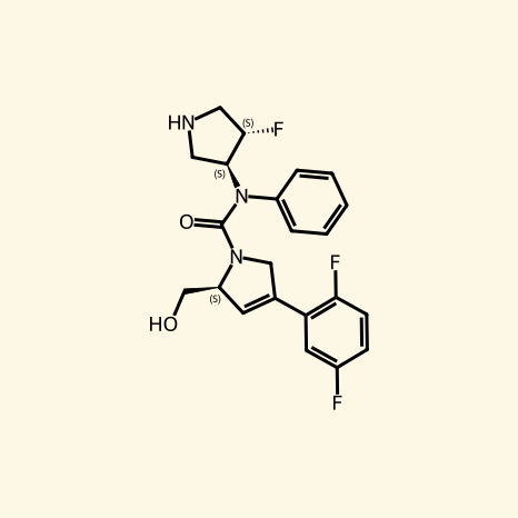 O=C(N1CC(c2cc(F)ccc2F)=C[C@H]1CO)N(c1ccccc1)[C@H]1CNC[C@@H]1F